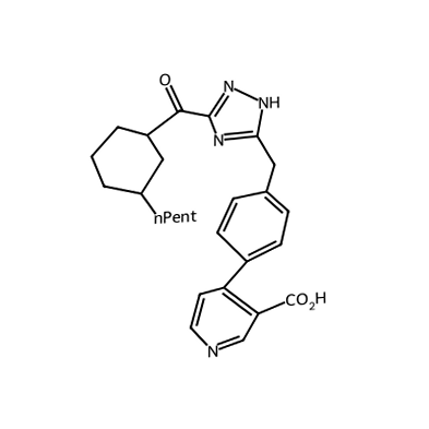 CCCCCC1CCCC(C(=O)c2n[nH]c(Cc3ccc(-c4ccncc4C(=O)O)cc3)n2)C1